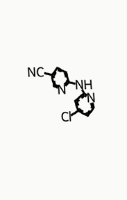 N#Cc1ccc(Nc2cc(Cl)ccn2)nc1